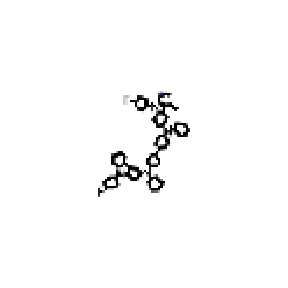 C=Cc1c(/C=C\C)n(-c2ccc(F)cc2)c2ccc(N(c3ccccc3)c3ccc(-c4ccc(N(c5ccccc5)c5ccc6c(c5)c5ccccc5n6-c5ccc(F)cc5)cc4)cc3)cc12